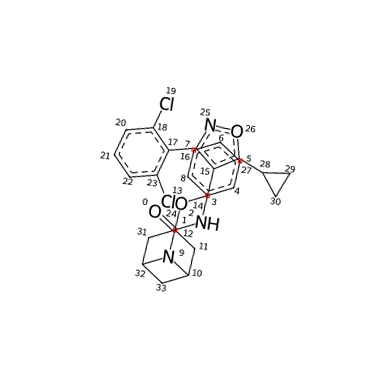 O=C(Nc1ccccc1)N1C2CC(OCc3c(-c4c(Cl)cccc4Cl)noc3C3CC3)CC1C2